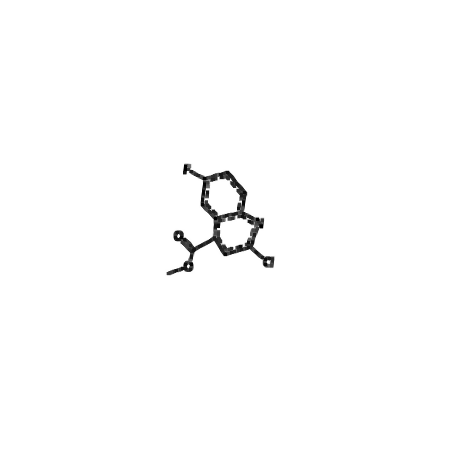 COC(=O)c1cc(Cl)nc2ccc(F)cc12